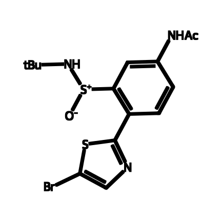 CC(=O)Nc1ccc(-c2ncc(Br)s2)c([S+]([O-])NC(C)(C)C)c1